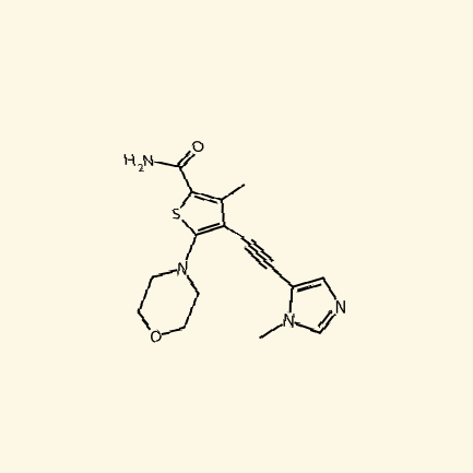 Cc1c(C(N)=O)sc(N2CCOCC2)c1C#Cc1cncn1C